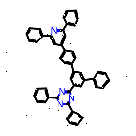 c1ccc(-c2cc(-c3ccc(-c4cc(-c5ccccc5)nc(-c5ccccc5)c4)cc3)cc(-c3nc(-c4ccccc4)nc(-c4ccccc4)n3)c2)cc1